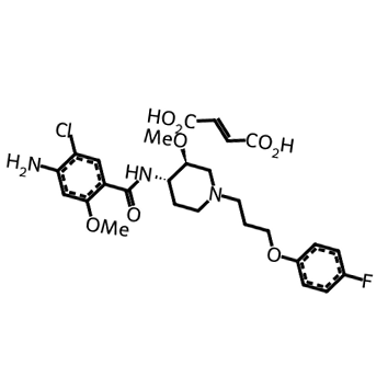 COc1cc(N)c(Cl)cc1C(=O)N[C@H]1CCN(CCCOc2ccc(F)cc2)C[C@@H]1OC.O=C(O)C=CC(=O)O